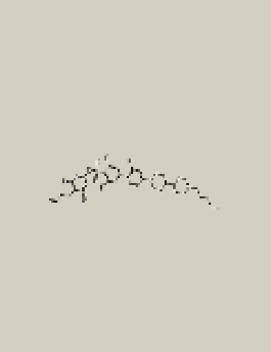 C=CCCc1c(F)cc(OC(F)(F)c2c(F)cc(-c3ccc(C4CCC(C5CCC(CCCCC)CC5)CC4)cc3F)cc2F)cc1F